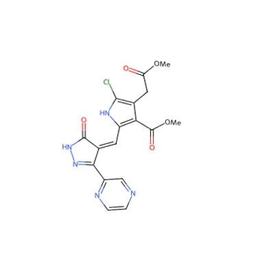 COC(=O)Cc1c(Cl)[nH]c(C=C2C(=O)NN=C2c2cnccn2)c1C(=O)OC